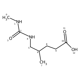 CNC(=O)NCC(C)CCC(=O)O